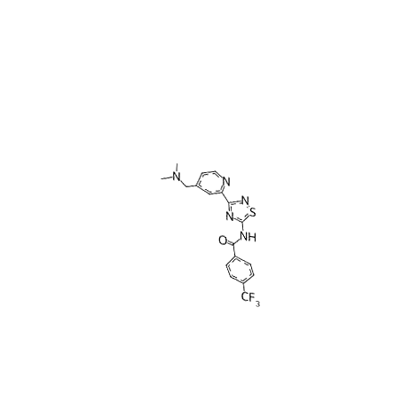 CN(C)Cc1ccnc(-c2nsc(NC(=O)c3ccc(C(F)(F)F)cc3)n2)c1